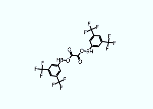 O=C(OBc1cc(C(F)(F)F)cc(C(F)(F)F)c1)C(=O)OBc1cc(C(F)(F)F)cc(C(F)(F)F)c1